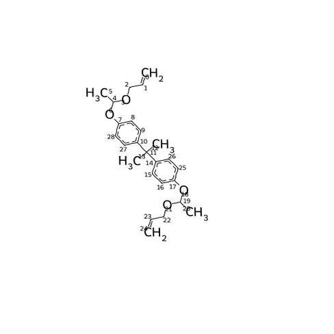 C=CCOC(C)Oc1ccc(C(C)(C)c2ccc(OC(C)OCC=C)cc2)cc1